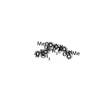 COc1ccccc1C(=O)Nc1ccc2nc(-c3ccc(-c4ccc(OC)c(C(=O)Nc5ccc6c(c5)nc(-c5cccnc5)n6C)c4)nc3)n(C)c2c1